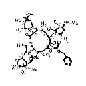 CO/N=C1\C[C@@H](C)O[C@@H](O[C@@H]2[C@@H](C)[C@H](O[C@H]3C[C@@](C)(O)[C@@H](O)[C@H](C)O3)[C@@H](C)C(=O)O[C@H](C(C)CO[C@@H]3O[C@H](C)[C@@H](O)[C@@H](OC)[C@H]3OC)[C@H](C)[C@@H](OC(=O)CC(C)C)[C@@H](C)C(=O)[C@@](C)(OC(=O)NCc3ccccc3)C[C@@H]2C)[C@@H]1O